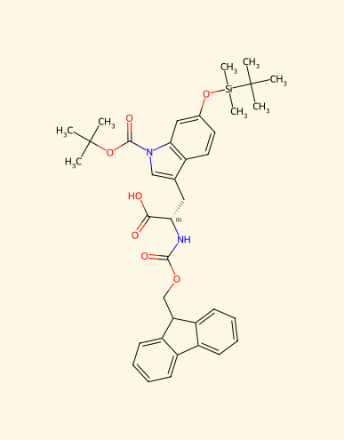 CC(C)(C)OC(=O)n1cc(C[C@H](NC(=O)OCC2c3ccccc3-c3ccccc32)C(=O)O)c2ccc(O[Si](C)(C)C(C)(C)C)cc21